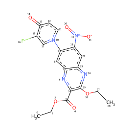 CCOC(=O)c1nc2cc(-n3ccc(=O)c(F)c3)c([N+](=O)[O-])cc2nc1OCC